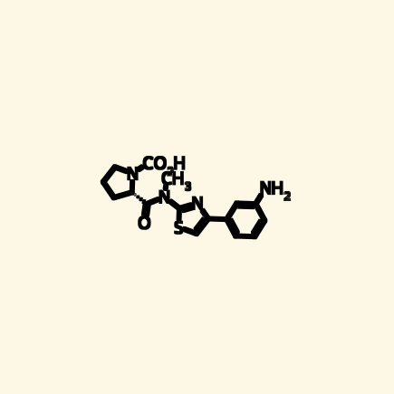 CN(C(=O)[C@@H]1CCCN1C(=O)O)c1nc(-c2cccc(N)c2)cs1